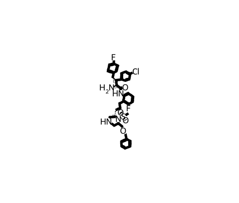 CS(=O)(=O)N1C(COCc2ccccc2)CNC[C@@H]1CCCc1c(F)cccc1NC(=O)[C@@H](N)[C@@H](Cc1ccc(F)cc1)c1ccc(Cl)cc1